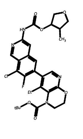 CCc1c(-c2cc3cc(NC(=O)OC4COCC4C)ncc3c(Cl)c2F)cnc2c1N(C(=O)OC(C)(C)C)CCO2